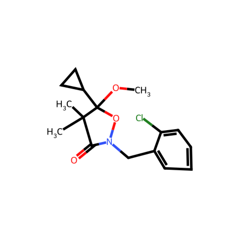 COC1(C2CC2)ON(Cc2ccccc2Cl)C(=O)C1(C)C